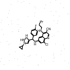 CC(C)CCNc1c(C#N)cnc2c(Cl)cc(NC(C3=CN(C4CC4)NN3)c3ccc(F)cc3)cc12